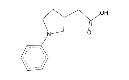 O=C(O)CC1CCN(c2ccccc2)C1